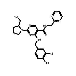 O=C(NCc1ncccn1)c1cnc(N2CCCC2CO)nc1NCc1ccc(O)c(Cl)c1